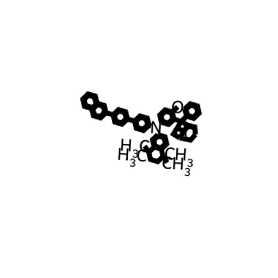 CC1(C)CCC(C)(C)c2cc(N(c3ccc(-c4ccc(-c5ccc6ccccc6c5)cc4)cc3)c3ccc4c(c3)C3(c5ccccc5O4)C4CC5CC6CC3C64C5)ccc21